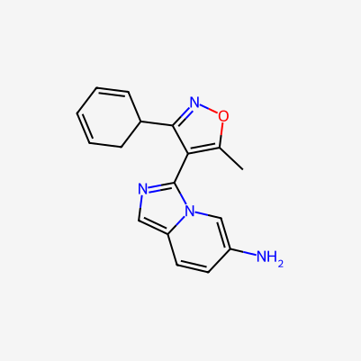 Cc1onc(C2C=CC=CC2)c1-c1ncc2ccc(N)cn12